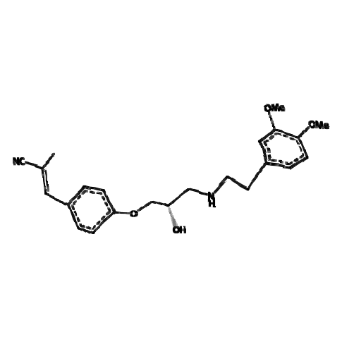 COc1ccc(CCNC[C@H](O)COc2ccc(C=C(C)C#N)cc2)cc1OC